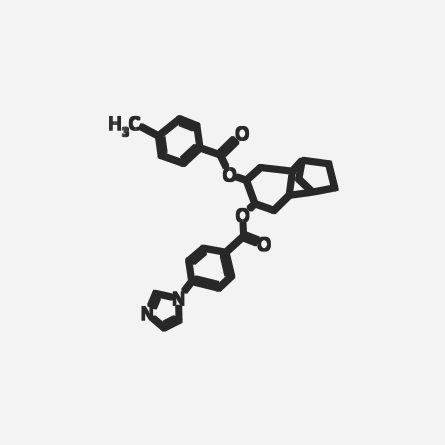 Cc1ccc(C(=O)OC2CC3C4CCC(C4)C3CC2OC(=O)c2ccc(-n3ccnc3)cc2)cc1